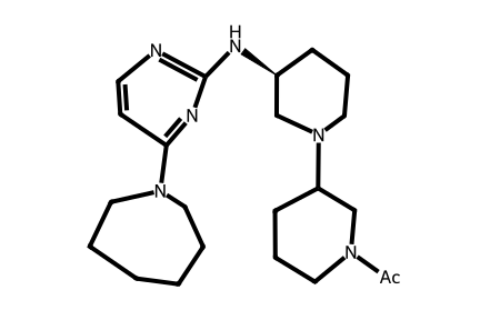 CC(=O)N1CCCC(N2CCC[C@H](Nc3nccc(N4CCCCCC4)n3)C2)C1